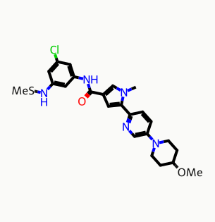 COC1CCN(c2ccc(-c3cc(C(=O)Nc4cc(Cl)cc(NSC)c4)cn3C)nc2)CC1